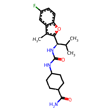 Cc1c([C@H](NC(=O)NC2CCC(C(N)=O)CC2)C(C)C)oc2ccc(F)cc12